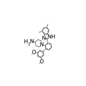 COc1cc(OC)cc(-c2cccc(-c3nc4c(C)cc(C)cc4[nH]3)c2N2CCC(N)CC2)c1